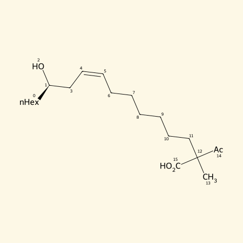 CCCCCC[C@@H](O)C/C=C\CCCCCCC(C)(C(C)=O)C(=O)O